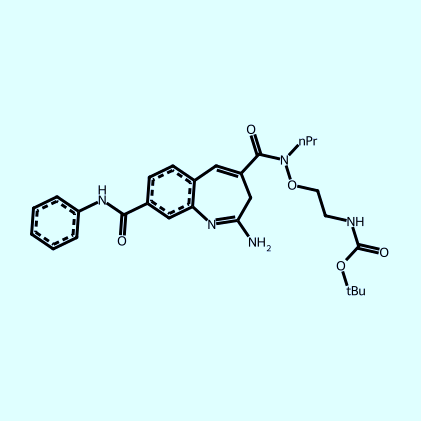 CCCN(OCCNC(=O)OC(C)(C)C)C(=O)C1=Cc2ccc(C(=O)Nc3ccccc3)cc2N=C(N)C1